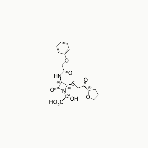 O=C(COc1ccccc1)N[C@@H]1C(=O)N([C@@H](O)C(=O)O)[C@@H]1SCC(=O)[C@H]1CCCO1